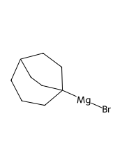 [Br][Mg][C]12CCCC(CC1)CC2